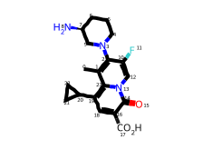 Cc1c(N2CCC[C@H](N)C2)c(F)cn2c(=O)c(C(=O)O)cc(C3CC3)c12